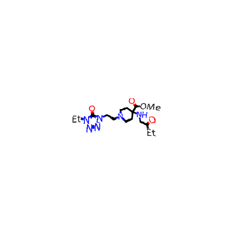 CCC(=O)CNC1(C(=O)OC)CCN(CCn2nnn(CC)c2=O)CC1